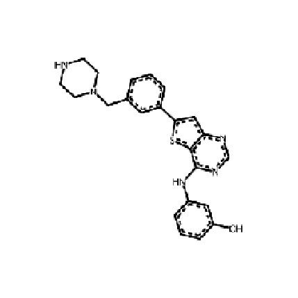 Oc1cccc(Nc2ncnc3cc(-c4cccc(CN5CCNCC5)c4)sc23)c1